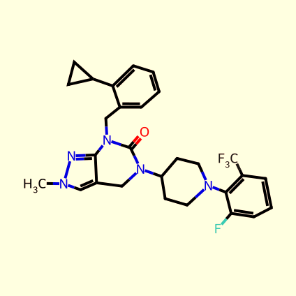 Cn1cc2c(n1)N(Cc1ccccc1C1CC1)C(=O)N(C1CCN(c3c(F)cccc3C(F)(F)F)CC1)C2